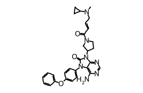 CN(CC=CC(=O)N1CCC(n2c(=O)n(-c3ccc(Oc4ccccc4)cc3)c3c(N)ncnc32)C1)C1CC1